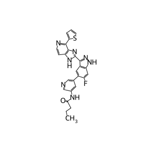 CCCC(=O)Nc1cncc(-c2cc3c(-c4nc5c(-c6cccs6)nccc5[nH]4)n[nH]c3cc2F)c1